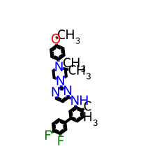 COc1ccc(N2CCN(c3nccc(Nc4cc(-c5ccc(F)c(F)c5)ccc4C)n3)CC2(C)C)cc1